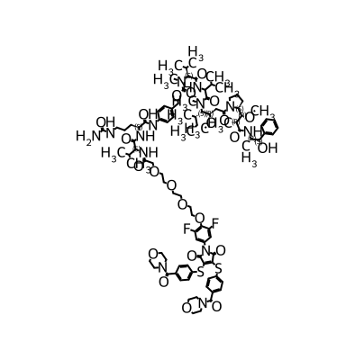 CCC(C)[C@@H]([C@@H](CC(=O)N1CCC[C@H]1[C@H](OC)[C@@H](C)C(=O)N[C@H](C)[C@@H](O)c1ccccc1)OC)N(C)C(=O)C(NC(=O)[C@H](C(C)C)N(C)C(=O)OCc1ccc(NC(=O)[C@H](CCCNC(N)=O)NC(=O)[C@@H](NC(=O)COCCOCCOCCOc2c(F)cc(N3C(=O)C(Sc4ccc(C(=O)N5CCOCC5)cc4)=C(Sc4ccc(C(=O)N5CCOCC5)cc4)C3=O)cc2F)C(C)C)cc1)C(C)C